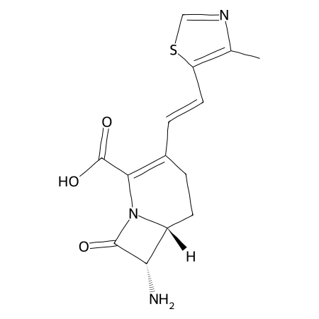 Cc1ncsc1C=CC1=C(C(=O)O)N2C(=O)[C@@H](N)[C@H]2CC1